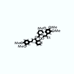 CC[C@H](C(=O)N1CCCCC1C(=O)O[C@H](CCc1ccc(OC)c(OC)c1)c1cccnc1)c1cc(OC)c(OC)c(OC)c1